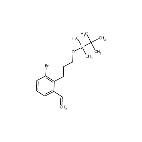 C=Cc1cccc(Br)c1CCCO[Si](C)(C)C(C)(C)C